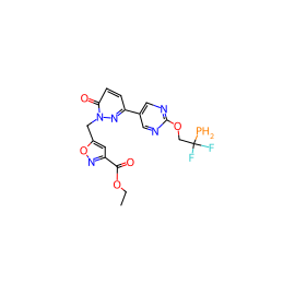 CCOC(=O)c1cc(Cn2nc(-c3cnc(OCC(F)(F)P)nc3)ccc2=O)on1